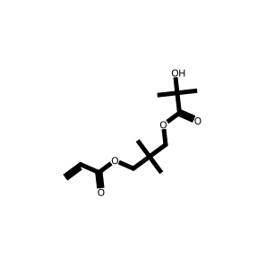 C=CC(=O)OCC(C)(C)COC(=O)C(C)(C)O